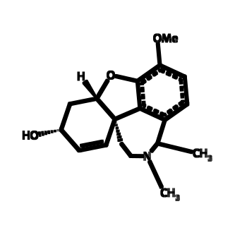 COc1ccc2c3c1O[C@H]1C[C@@H](O)C=C[C@]31CCN(C)C2C